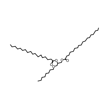 CCCCCCCCCCCCCCCCCC(=O)OCC(COCCCCCCCC)OC(=O)CCCCCCCCCCCCCCCCC